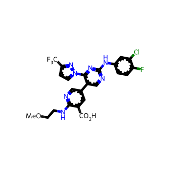 COCCNc1ncc(-c2cnc(Nc3ccc(F)c(Cl)c3)nc2-n2ccc(C(F)(F)F)n2)cc1C(=O)O